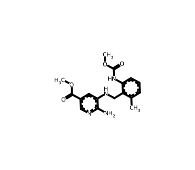 COC(=O)Nc1cccc(C)c1CNc1cc(C(=O)OC)cnc1N